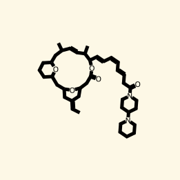 C/C=C1\CC2CC(=O)OC(/C=C/C=C\C=C\CC(=O)N3CCC(N4CCCCC4)CC3)C(C)/C=C/C(C)CC3CCCC(CC(C1)O2)O3